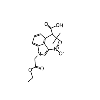 CCOC(=O)Cn1cc([N+](=O)[O-])c2c(C(C(=O)O)C(C)(C)C)cccc21